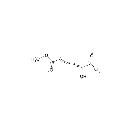 COC(=O)/C=C/C=C(\O)C(=O)O